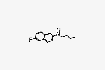 CCCCNc1ccc2cc(F)ccc2c1